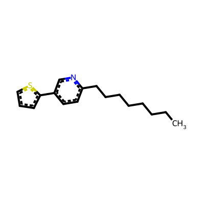 CCCCCCCCc1ccc(-c2cccs2)cn1